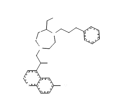 COc1ccc2nccc(C(O)CN3CCC(CO)N(CCCc4ccccc4)CC3)c2c1